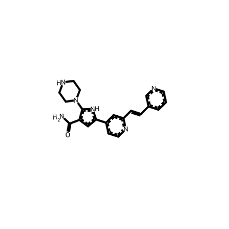 NC(=O)c1cc(-c2ccnc(C=Cc3cccnc3)c2)[nH]c1N1CCNCC1